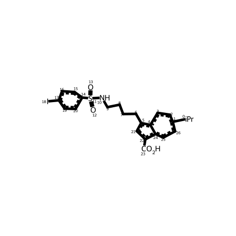 CC(C)c1ccc2c(CCCCNS(=O)(=O)c3ccc(I)cc3)cc(C(=O)O)c-2cc1